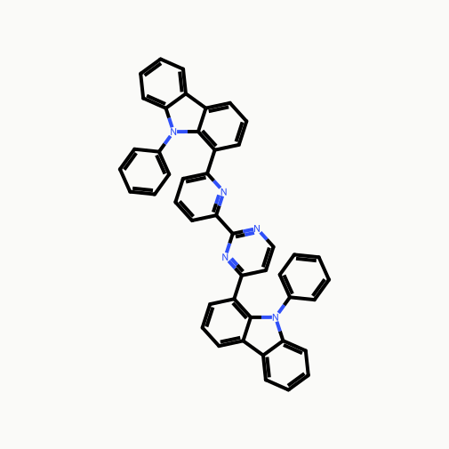 c1ccc(-n2c3ccccc3c3cccc(-c4cccc(-c5nccc(-c6cccc7c8ccccc8n(-c8ccccc8)c67)n5)n4)c32)cc1